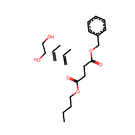 C=CC.C=CC.CCCCOC(=O)CCC(=O)OCc1ccccc1.OCCO